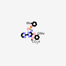 CC(C)(C)c1ccccc1.COc1ccccc1Oc1c(N=S(=O)=O)nc(-c2ncccn2)nc1OCC(=O)O